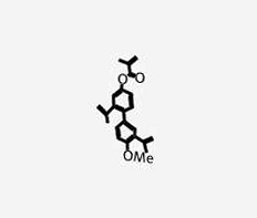 C=C(C)C(=O)Oc1ccc(-c2ccc(OC)c(C(=C)C)c2)c(C(=C)C)c1